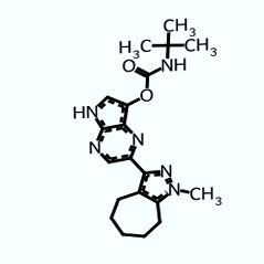 Cn1nc(-c2cnc3[nH]cc(OC(=O)NC(C)(C)C)c3n2)c2c1CCCCC2